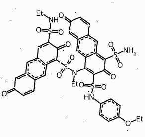 CCNS(=O)(=O)C1=Cc2cc3c(cc2=C(S(=O)(=O)N(CC)C2=C(S(=O)(=O)Nc4ccc(OCC)cc4)C(=O)C(S(N)(=O)=O)=c4cc5c(cc42)=CC(=O)C=C5)C1=O)C=CC(=O)C=3